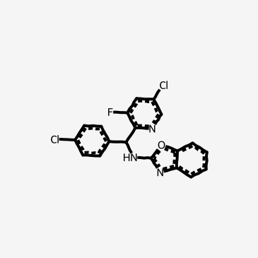 Fc1cc(Cl)cnc1C(Nc1nc2ccccc2o1)c1ccc(Cl)cc1